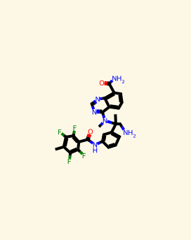 Cc1c(F)c(F)c(C(=O)Nc2cccc(C(C)(CN)N(C)c3ncnc4c(C(N)=O)cccc34)c2)c(F)c1F